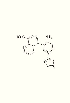 Nc1ccc(-c2cnco2)cc1-c1ccc(C(=O)O)c2ncccc12